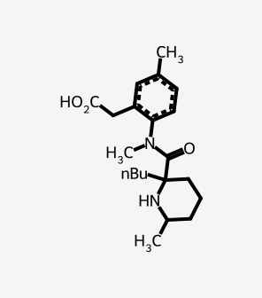 CCCCC1(C(=O)N(C)c2ccc(C)cc2CC(=O)O)CCCC(C)N1